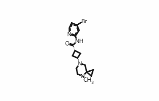 CN1CCN([C@H]2C[C@@H](C(=O)Nc3cc(Br)ccn3)C2)CC12CC2